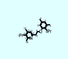 Cc1cc(C)c(C(C)C)c(OCCc2cc(C)c(C(C)C)c(C)n2)c1